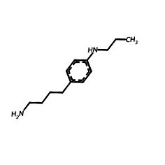 CCCNc1ccc(CCCCN)cc1